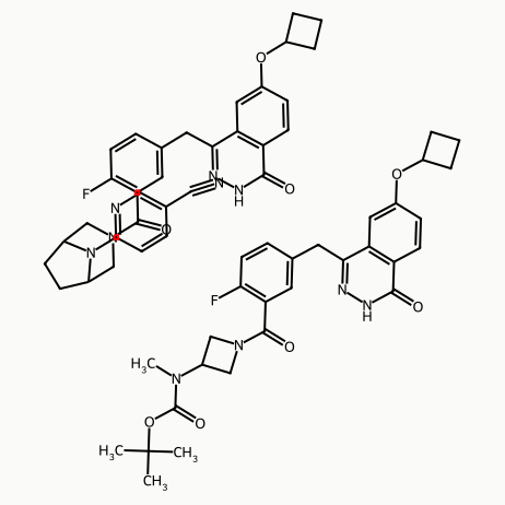 CN(C(=O)OC(C)(C)C)C1CN(C(=O)c2cc(Cc3n[nH]c(=O)c4ccc(OC5CCC5)cc34)ccc2F)C1.N#Cc1ccc(N2C3CCC2CN(C(=O)c2cc(Cc4n[nH]c(=O)c5ccc(OC6CCC6)cc45)ccc2F)C3)nc1